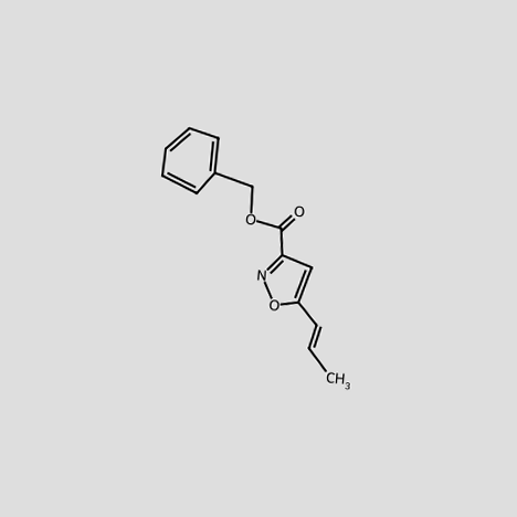 C/C=C/c1cc(C(=O)OCc2ccccc2)no1